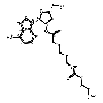 CCCCCCCCCCCCCC(=O)NCCCCCC(=O)O[C@@H]1C[C@@H](CO)O[C@H]1n1cnc2c(N)ncnc21